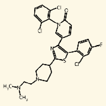 CN(C)CCN1CCC(c2nc(-c3ccc(=O)n(-c4c(Cl)cccc4Cl)c3)c(-c3ccc(F)cc3Cl)s2)CC1